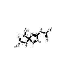 O=[N+]([O-])NC1=NC(NO)(N[N+](=O)[O-])N=N1